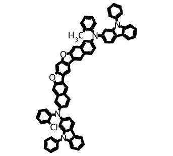 Cc1ccccc1N(c1ccc2cc3c(cc2c1)oc1cc2oc4cc5cc(N(c6ccc7c8ccccc8n(-c8ccccc8)c7c6)c6ccccc6C)ccc5cc4c2cc13)c1ccc2c3ccccc3n(-c3ccccc3)c2c1